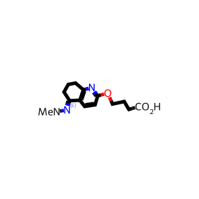 CN/N=C1\CCCc2nc(OCCCC(=O)O)ccc21